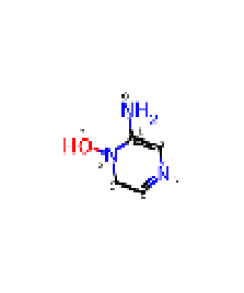 NC1=CN=CCN1O